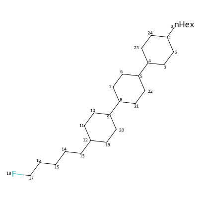 CCCCCCC1CCC(C2CCC(C3CCC(CCCCCF)CC3)CC2)CC1